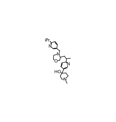 CC(C)c1ccc(CN2CCOCC2CC(C)c2ccc(C3(O)CCN(C)CC3)cn2)cn1